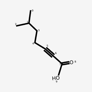 CC(C)CCC#CC(=O)O